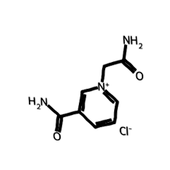 NC(=O)C[n+]1cccc(C(N)=O)c1.[Cl-]